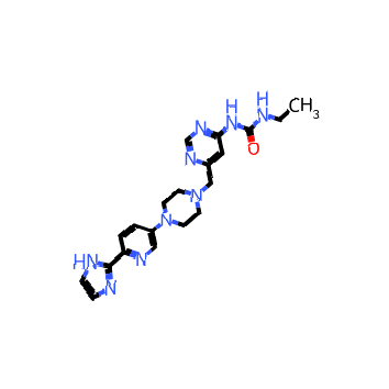 CCNC(=O)Nc1cc(CN2CCN(c3ccc(-c4ncc[nH]4)nc3)CC2)ncn1